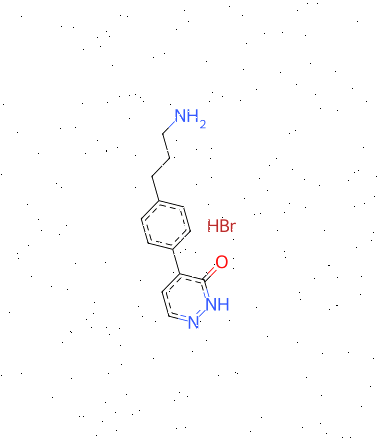 Br.NCCCc1ccc(-c2ccn[nH]c2=O)cc1